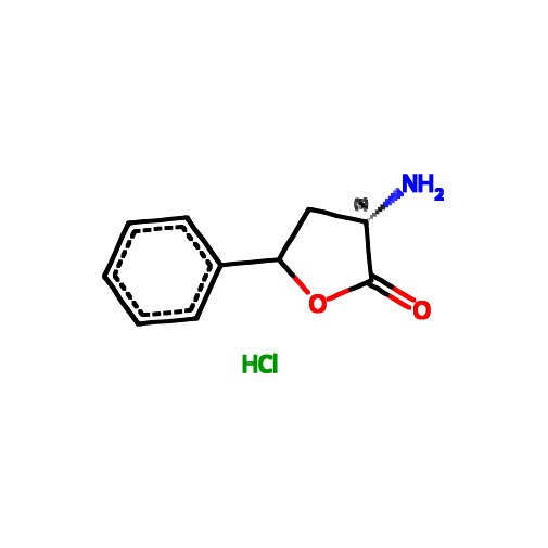 Cl.N[C@H]1CC(c2ccccc2)OC1=O